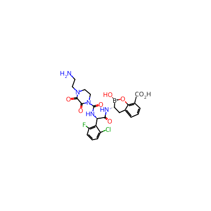 NCCN1CCN(C(=O)N[C@@H](C(=O)N[C@H]2Cc3cccc(C(=O)O)c3OB2O)c2c(F)cccc2Cl)C(=O)C1=O